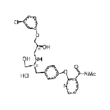 CNC(=O)c1cccnc1Oc1ccc(C[C@@H](CO)NC[C@H](O)COc2cccc(Cl)c2)cc1.Cl